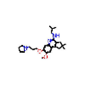 COc1cc2c3c(c(NCC(C)C)nc2cc1OCCCN1CCCC1)CC(C)(C)C3